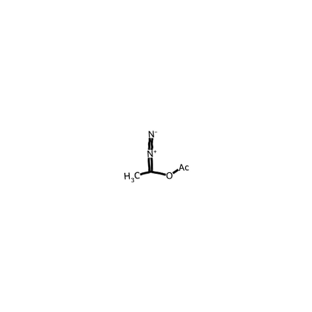 CC(=O)OC(C)=[N+]=[N-]